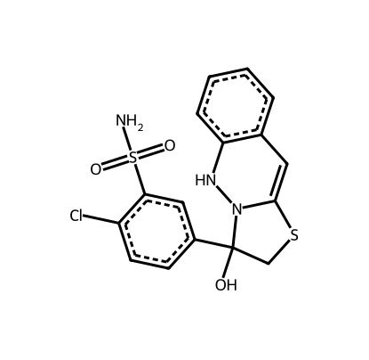 NS(=O)(=O)c1cc(C2(O)CSC3=Cc4ccccc4NN32)ccc1Cl